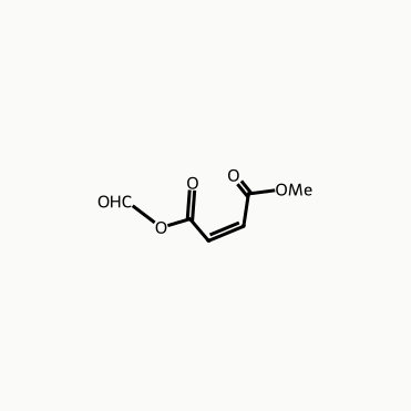 COC(=O)/C=C\C(=O)OC=O